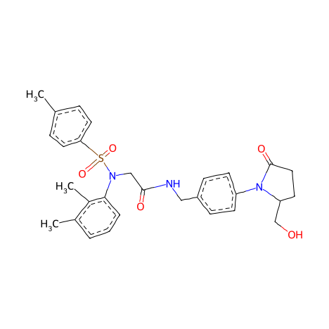 Cc1ccc(S(=O)(=O)N(CC(=O)NCc2ccc(N3C(=O)CCC3CO)cc2)c2cccc(C)c2C)cc1